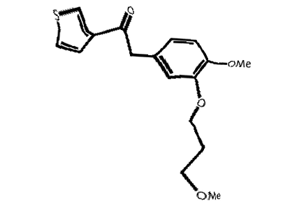 COCCCOc1cc(CC(=O)c2ccsc2)ccc1OC